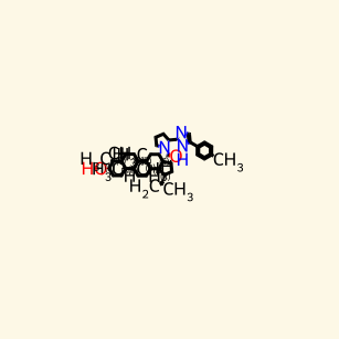 C=C(C)[C@@H]1CC[C@]2(C(=O)N3CCCC3c3ncc(-c4ccc(C)cc4)[nH]3)CC[C@]3(C)[C@H](CC[C@@H]4[C@@]5(C)CC[C@H](O)C(C)(C)[C@@H]5CC[C@]43C)[C@@H]12